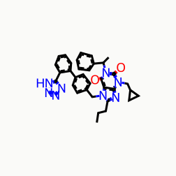 CCCc1nc2c(c(=O)n(C(C)c3ccccc3)c(=O)n2CC2CC2)n1Cc1ccc(-c2ccccc2-c2nnn[nH]2)cc1